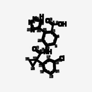 O=C(O)c1ccc(NC(=O)C2(c3cccc(Cl)c3)CC2)cc1-c1nnn[nH]1